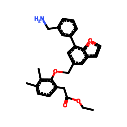 CCOC(=O)Cc1ccc(C)c(C)c1OCc1cc(-c2cccc(CN)c2)c2occc2c1